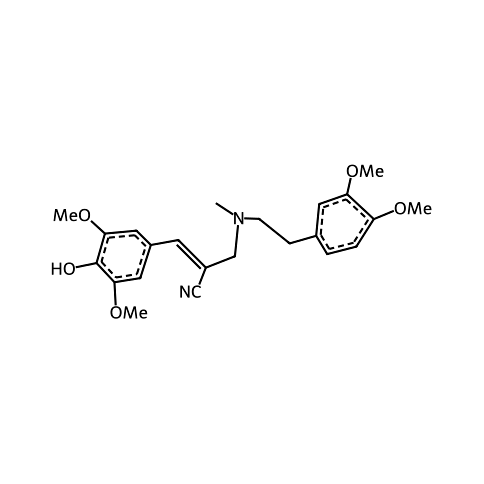 COc1ccc(CCN(C)CC(C#N)=Cc2cc(OC)c(O)c(OC)c2)cc1OC